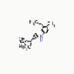 C=C/C(=C\C(C)=C/C)C1C2C=C(Nc3ccc(C)c(CCC)c3)C21